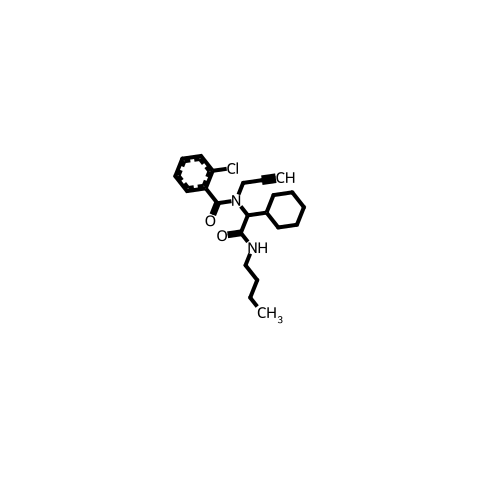 C#CCN(C(=O)c1ccccc1Cl)C(C(=O)NCCCC)C1CCCCC1